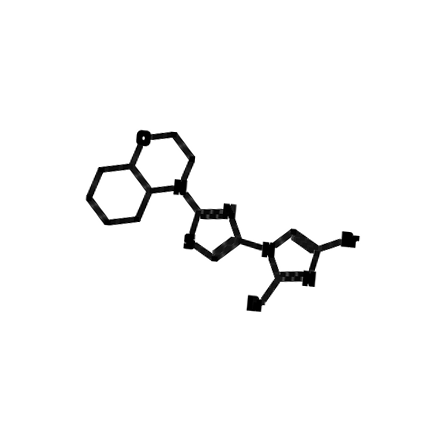 Brc1cn(-c2csc(N3CCOC4CCCCC43)n2)c(Br)n1